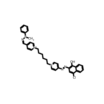 CN(/N=C\c1cc[n+](CCCCCC[n+]2ccc(/N=N/c3cc(Cl)c4ccccc4c3O)cc2)cc1)c1ccccc1